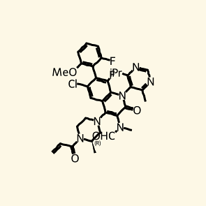 C=CC(=O)N1CCN(c2c(N(C)C=O)c(=O)n(-c3c(C)ncnc3C(C)C)c3c(F)c(-c4c(F)cccc4OC)c(Cl)cc23)C[C@H]1C